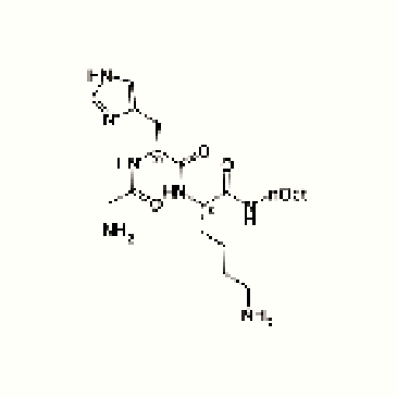 CCCCCCCCNC(=O)[C@H](CCCCN)NC(=O)[C@H](Cc1c[nH]cn1)NC(=O)CN